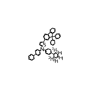 [2H]c1c([2H])c([2H])c(-c2ccc(N(c3ccc(-c4ccccc4)cc3)c3ccc(-c4ccc5c(c4)C(c4ccccc4)(c4ccccc4)c4ccccc4-5)s3)cc2)c([2H])c1[2H]